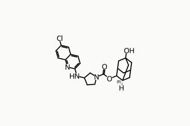 O=C(OC1C2CC3C[C@@H]1CC(O)(C3)C2)N1CCC(Nc2ccc3cc(Cl)ccc3n2)C1